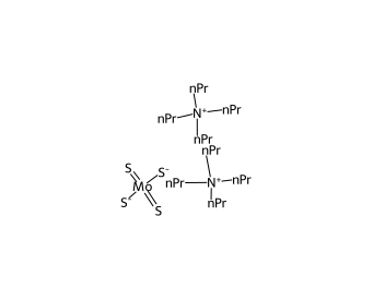 CCC[N+](CCC)(CCC)CCC.CCC[N+](CCC)(CCC)CCC.[S]=[Mo](=[S])([S-])[S-]